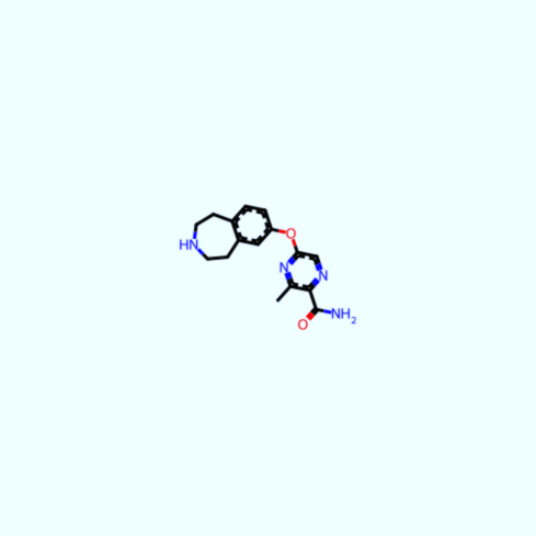 Cc1nc(Oc2ccc3c(c2)CCNCC3)cnc1C(N)=O